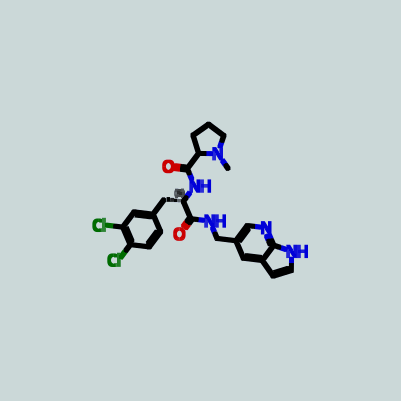 CN1CCCC1C(=O)N[C@@H](Cc1ccc(Cl)c(Cl)c1)C(=O)NCc1cnc2[nH]ccc2c1